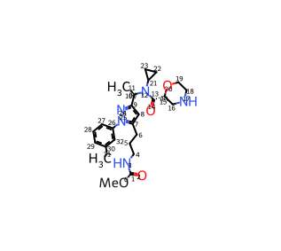 COC(=O)NCCCc1cc([C@@H](C)N(C(=O)[C@H]2CNCCO2)C2CC2)nn1-c1cccc(C)c1